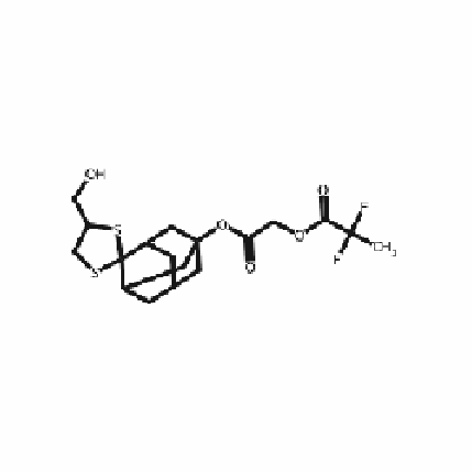 CC(F)(F)C(=O)OCC(=O)OC12CC3CC(C1)C1(SCC(CO)S1)C(C3)C2